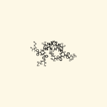 CCCCC(CC)COC(=O)c1cc(/N=N/c2c(C(C)(C)C)nn(-c3cc(-n4nc(C(C)(C)C)c(/N=N/c5cc(C(=O)OCC(CC)CCCC)cc(C(=O)OC(CC)CCCC)c5)c4N)ncn3)c2N)cc(C(=O)OCC(CC)CCCC)c1